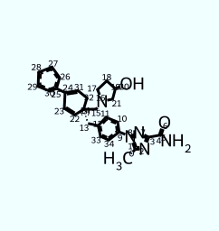 Cc1nc(C(N)=O)nn1-c1ccc(C[C@]2(CN3CCC(O)C3)C=CC(c3ccccc3)=CC2)cc1